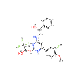 CCOc1ccc(-c2cc(NC[C@H](O)c3ccccc3)ncn2)cc1F.O=C(O)C(F)(F)F